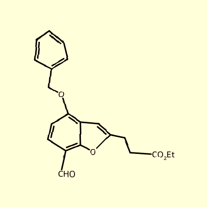 CCOC(=O)CCc1cc2c(OCc3ccccc3)ccc(C=O)c2o1